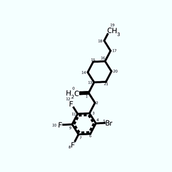 C=C(Cc1c(Br)cc(F)c(F)c1F)C1CCC(CCC)CC1